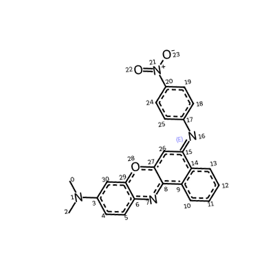 CN(C)c1ccc2nc3c4ccccc4/c(=N/c4ccc([N+](=O)[O-])cc4)cc-3oc2c1